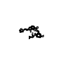 O=C(COc1ccc(Cl)cc1CNC(=O)c1ccc2cn(CCn3cccn3)nc2c1)NC1CC1